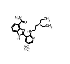 CCN(CC)CCNc1ncccc1-c1nc2c(C(N)=O)cccc2[nH]1.Cl.Cl